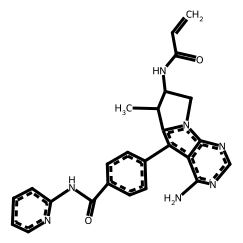 C=CC(=O)NC1Cn2c(c(-c3ccc(C(=O)Nc4ccccn4)cc3)c3c(N)ncnc32)C1C